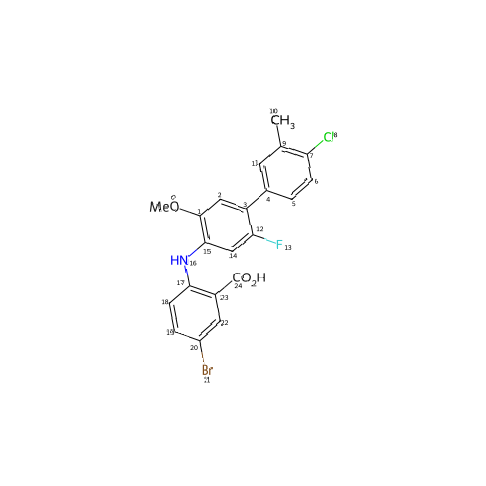 COc1cc(-c2ccc(Cl)c(C)c2)c(F)cc1Nc1ccc(Br)cc1C(=O)O